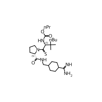 CCCCC(C)(C)[C@H](NC(=O)OCCC)C(=S)N1CCC[C@H]1C(=O)NCC1CCC(C(=N)N)CC1